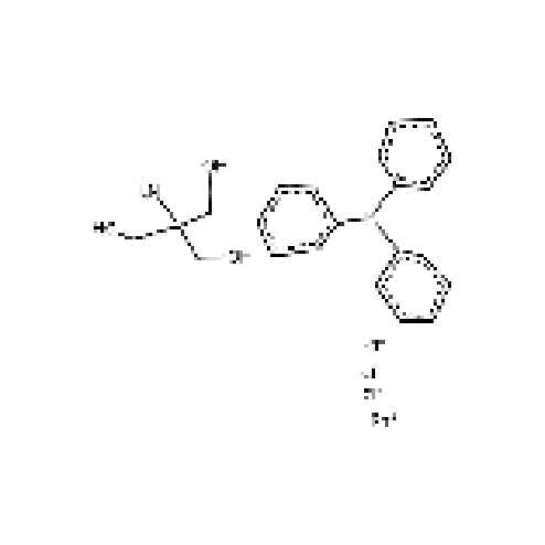 NC(CO)(CO)CO.[Cl-].[Cl-].[Cl-].[Rh+3].c1ccc(P(c2ccccc2)c2ccccc2)cc1